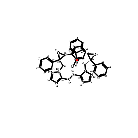 Clc1ccccc1[C@@H]1O[C@@]1(Cn1ncnc1SSc1ncnn1C[C@@]1(c2ccccc2)O[C@H]1c1ccccc1Cl)c1ccccc1